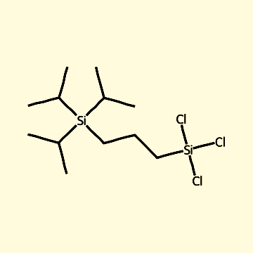 CC(C)[Si](CCC[Si](Cl)(Cl)Cl)(C(C)C)C(C)C